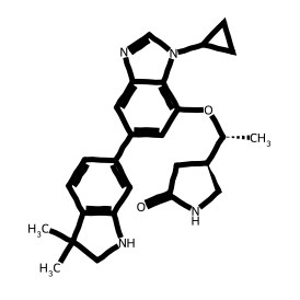 C[C@@H](Oc1cc(-c2ccc3c(c2)NCC3(C)C)cc2ncn(C3CC3)c12)[C@H]1CNC(=O)C1